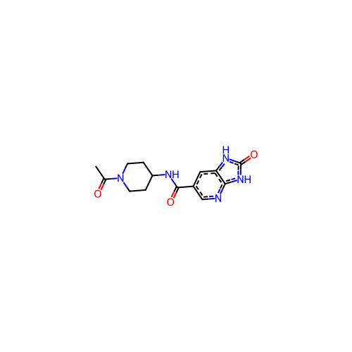 CC(=O)N1CCC(NC(=O)c2cnc3[nH]c(=O)[nH]c3c2)CC1